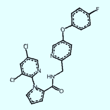 O=C(NCc1ccc(Oc2ccc(F)cc2)cn1)c1cccn1-c1ncc(Cl)cc1Cl